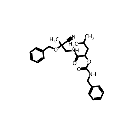 CC(C)CC(OC(=O)NCc1ccccc1)C(=O)NCC(C)(C#N)OCc1ccccc1